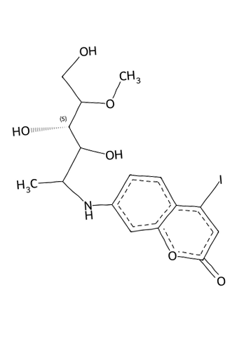 COC(CO)[C@@H](O)C(O)C(C)Nc1ccc2c(I)cc(=O)oc2c1